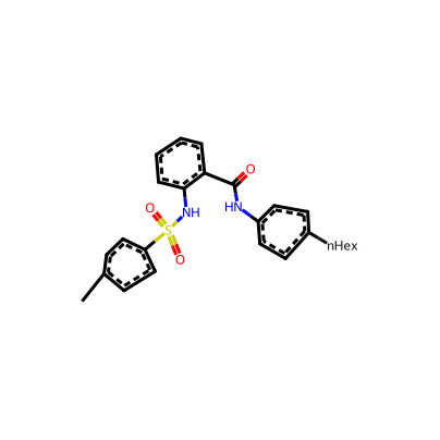 CCCCCCc1ccc(NC(=O)c2ccccc2NS(=O)(=O)c2ccc(C)cc2)cc1